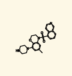 Cc1cc(N2CCNCC2)c2c(c1)N(S(=O)(=O)c1cccc3cnccc13)CCO2